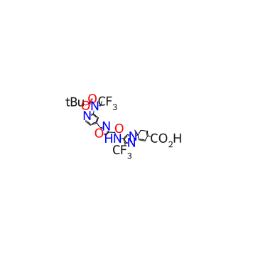 CC(C)(C)OC(=O)N(CC(F)(F)F)c1cc(-c2nc(C(=O)Nc3cn(C4(C)C=CC(C(=O)O)=CC4)nc3C(F)(F)F)co2)ccn1